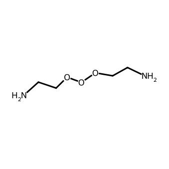 NCCOOOCCN